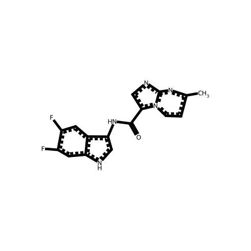 Cc1ccn2c(C(=O)Nc3c[nH]c4cc(F)c(F)cc34)cnc2n1